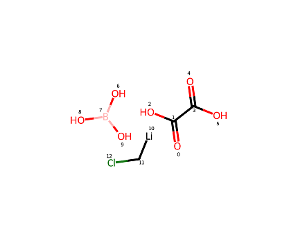 O=C(O)C(=O)O.OB(O)O.[Li][CH2]Cl